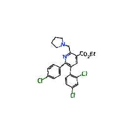 CCOC(=O)c1cc(-c2ccc(Cl)cc2Cl)c(-c2ccc(Cl)cc2)nc1CN1CCCC1